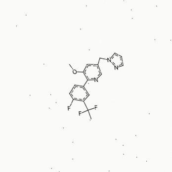 COc1cc(Cn2cccn2)cnc1-c1ccc(F)c(C(C)(F)F)c1